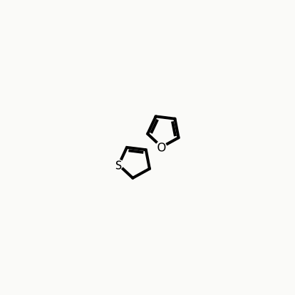 C1=CSCC1.c1ccoc1